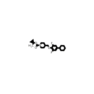 CC1(OC(=O)N2CCC(COc3c(F)cc(C4CCCCC4)cc3F)CC2)CC1